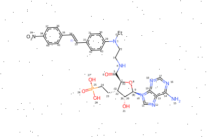 CCN(CCNC(=O)[C@H]1O[C@@H](n2cnc3c(N)ncnc32)[C@H](O)[C@@H]1CCP(=O)(O)O)c1ccc(/C=C/c2ccc([N+](=O)[O-])cc2)cc1